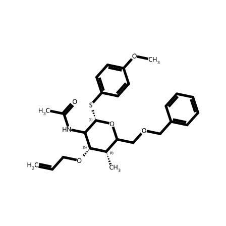 C=CCO[C@@H]1C(NC(C)=O)[C@H](Sc2ccc(OC)cc2)OC(COCc2ccccc2)[C@@H]1C